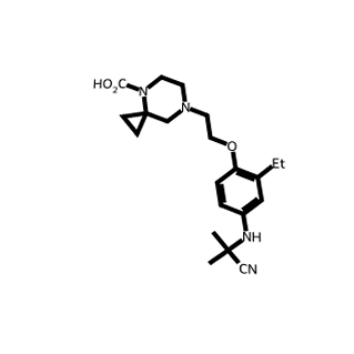 CCc1cc(NC(C)(C)C#N)ccc1OCCN1CCN(C(=O)O)C2(CC2)C1